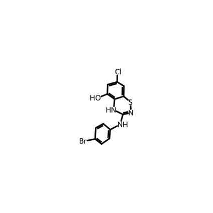 Oc1cc(Cl)cc2c1NC(Nc1ccc(Br)cc1)=NS2